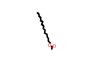 C=CC=CC=CC=CCCCCCCCCOC(C)=O